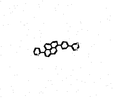 c1ccc(-c2ccc3ccc4c(-c5ccc(-c6cncnc6)cc5)ccc5ccc2c3c54)nc1